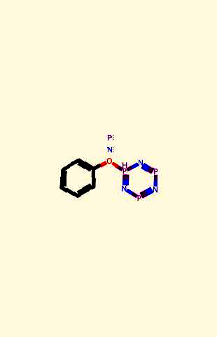 [N].[P].c1ccc(O[PH]2=NP=NP=N2)cc1